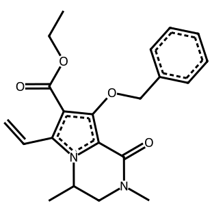 C=Cc1c(C(=O)OCC)c(OCc2ccccc2)c2n1C(C)CN(C)C2=O